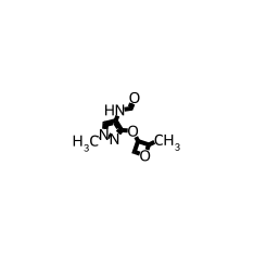 CC1OCC1Oc1nn(C)cc1NC=O